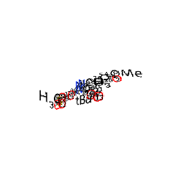 COC(=O)c1ccc2ccc(C(CC(=O)OC(C)(C)C)c3ccc4c(nnn4CCOCCOS(C)(=O)=O)c3C)cc2c1